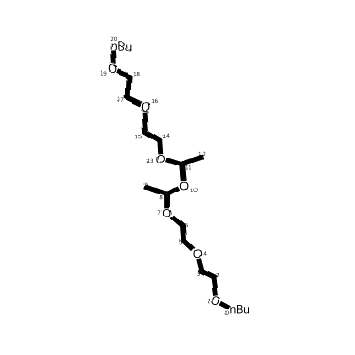 CCCCOCCOCCOC(C)OC(C)OCCOCCOCCCC